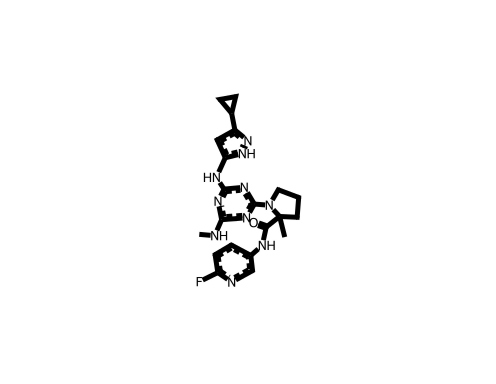 CNc1nc(Nc2cc(C3CC3)n[nH]2)nc(N2CCCC2(C)C(=O)Nc2ccc(F)nc2)n1